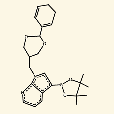 CC1(C)OB(c2cn(CC3COC(C4=CCCC=C4)OC3)c3ncccc23)OC1(C)C